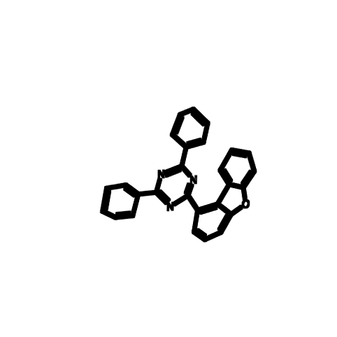 c1ccc(-c2nc(-c3ccccc3)nc(-c3cccc4oc5ccccc5c34)n2)cc1